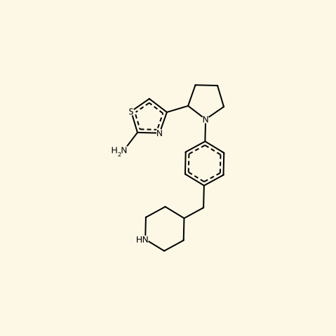 Nc1nc(C2CCCN2c2ccc(CC3CCNCC3)cc2)cs1